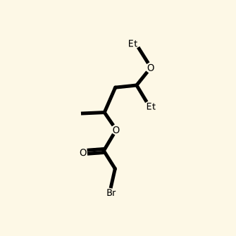 CCOC(CC)CC(C)OC(=O)CBr